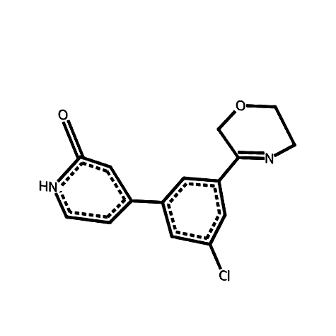 O=c1cc(-c2cc(Cl)cc(C3=NCCOC3)c2)cc[nH]1